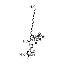 CCCCCCCCCCCCCCCC(OP(=O)(O)OP(=O)(O)O)C(O)[C@H]1O[C@@H](n2cc(C)c(=O)[nH]c2=O)C[C@@H]1O